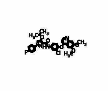 COc1cc2nccc(Oc3ccc(NC(=O)c4nn(-c5ccc(F)cc5)cc4OC(C)C)cc3Cl)c2cc1OC